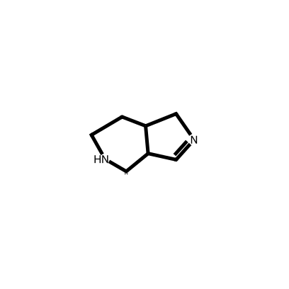 [C]1NCCC2CN=CC12